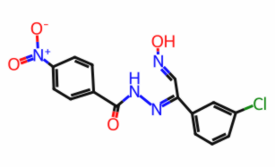 O=C(NN=C(C=NO)c1cccc(Cl)c1)c1ccc([N+](=O)[O-])cc1